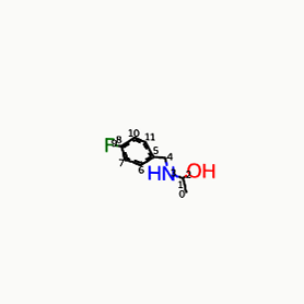 CC(O)NCc1ccc(F)cc1